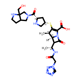 C[C@@H](NC(=O)Cn1cnnn1)C1C(=O)N2C(C(=O)O)=C(S[C@@H]3CN[C@H](C(=O)N4CC5CCNC5(CO)C4)C3)[C@H](C)[C@H]12